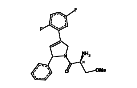 COC[C@H](N)C(=O)N1CC(c2cc(F)ccc2F)=CC1c1ccccc1